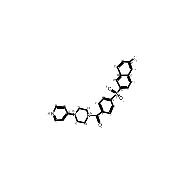 O=C(c1ccc(S(=O)(=O)c2ccc3cc(Cl)ccc3c2)cc1)N1CCN(c2ccncc2)CC1